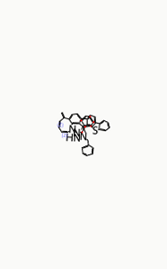 C=C1/C=C\C=C/N(N2NN(Cc3ccccc3)C2c2cccc3c2sc2ccccc23)c2c1ccc1c2C(C)(C)c2ccccc2-1